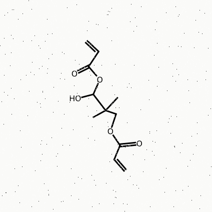 C=CC(=O)OCC(C)(C)C(O)OC(=O)C=C